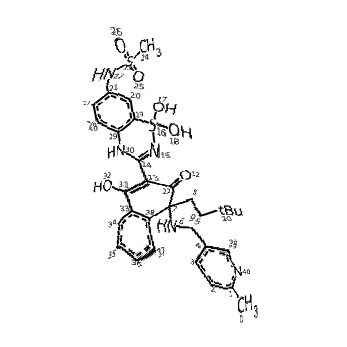 Cc1ccc(CNC2(CCC(C)(C)C)C(=O)C(C3=NS(O)(O)c4cc(NS(C)(=O)=O)ccc4N3)=C(O)c3ccccc32)cn1